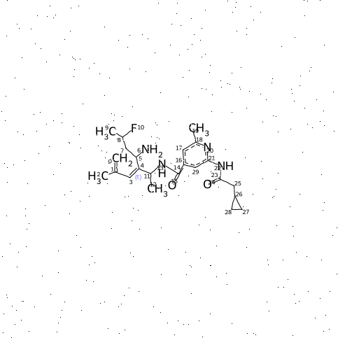 C=C(C)/C=C(\C(N)CC(C)F)C(C)NC(=O)c1cc(C)nc(NC(=O)CC2CC2)c1